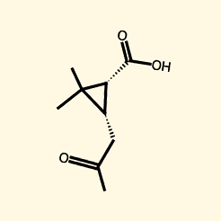 CC(=O)C[C@H]1[C@@H](C(=O)O)C1(C)C